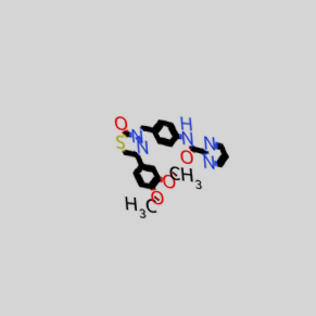 COc1ccc(C2=NN(Cc3ccc(NC(=O)c4ncccn4)cc3)C(=O)SC2)cc1OC